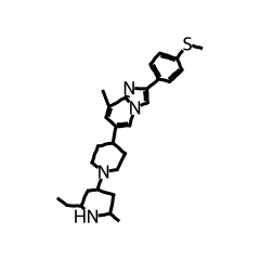 CCC1CC(N2CCC(c3cc(C)c4nc(-c5ccc(SC)cc5)cn4c3)CC2)CC(C)N1